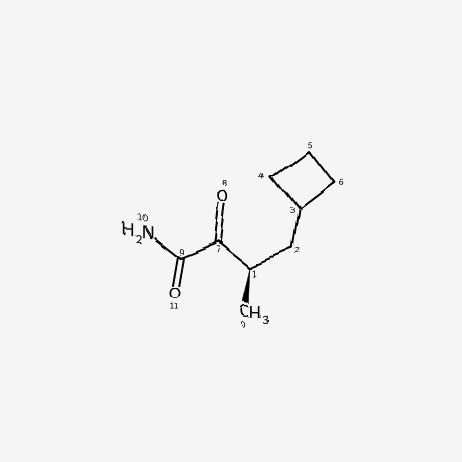 C[C@H](CC1CCC1)C(=O)C(N)=O